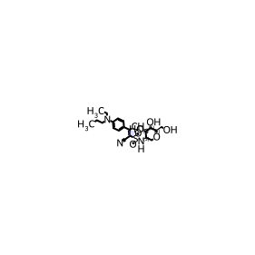 CCCN(CC)c1ccc(/C(C)=C(\C#N)S(=O)(=O)N[C@H]2CO[C@H](CO)[C@@H](O)[C@@H]2O)cc1